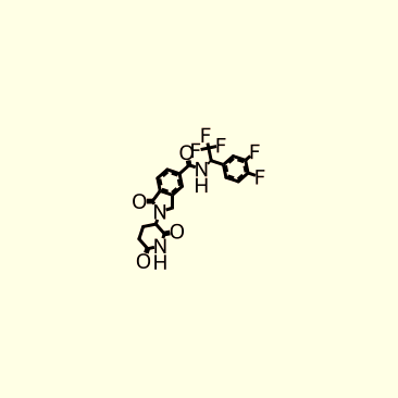 O=C1CCC(N2Cc3cc(C(=O)N[C@H](c4ccc(F)c(F)c4)C(F)(F)F)ccc3C2=O)C(=O)N1